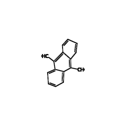 [CH]c1c2ccccc2c([CH])c2ccccc12